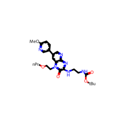 CCCOCCn1c(=O)c(NCCNC(=O)OC(C)(C)C)nc2ncc(-c3ccc(OC)nc3)cc21